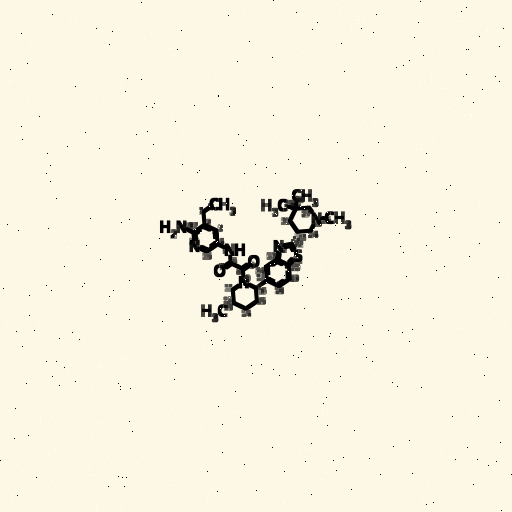 CCc1cc(NC(=O)C(=O)N2C[C@@H](C)CC[C@@H]2c2ccc3sc([C@H]4CN(C)CC(C)(C)C4)nc3c2)cnc1N